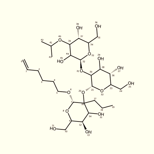 C=CCCCCO[C@H]1OC(CO)[C@H](O)C(O)C1(CCC)O[C@H]1OC(CO)[C@@H](O)C(O)C1O[C@@H]1OC(CO)[C@@H](O)C(OC(C)C)C1O